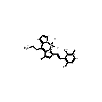 CC1=CC(/C=C/c2c(Cl)ccc(C)c2F)=[N+]2C1=C(CCN)c1cccn1[B-]2(F)F